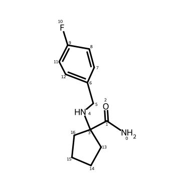 NC(=O)C1(NCc2ccc(F)cc2)CCCC1